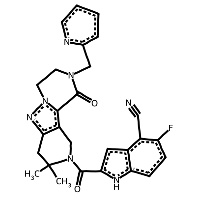 CC1(C)Cc2nn3c(c2CN1C(=O)c1cc2c(C#N)c(F)ccc2[nH]1)C(=O)N(Cc1ccccn1)CC3